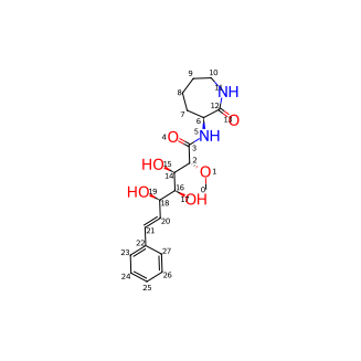 CO[C@@H](C(=O)N[C@H]1CCCCNC1=O)[C@H](O)[C@@H](O)[C@H](O)/C=C/c1ccccc1